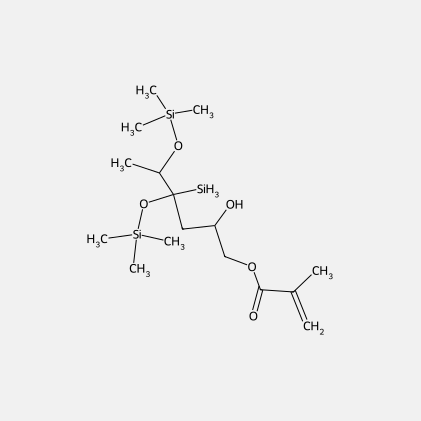 C=C(C)C(=O)OCC(O)CC([SiH3])(O[Si](C)(C)C)C(C)O[Si](C)(C)C